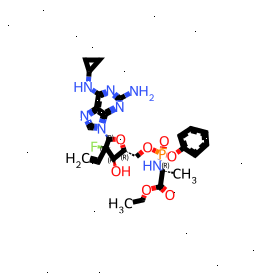 C=C[C@@]1(F)[C@H](O)[C@@H](COP(=O)(N[C@H](C)C(=O)OCC)Oc2ccccc2)O[C@H]1n1cnc2c(NC3CC3)nc(N)nc21